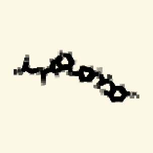 Cc1ccc(F)c(NC(=O)Nc2ccc(Oc3ccnc4cc(C(=O)NCC(=O)O)sc34)cc2)c1